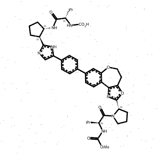 COC(=O)N[C@H](C(=O)N1CCC[C@H]1c1nc2c(o1)CCOc1cc(-c3ccc(-c4cnc([C@H]5CCC[C@@H]5NC(=O)[C@@H](NC(=O)O)C(C)C)[nH]4)cc3)ccc1-2)C(C)C